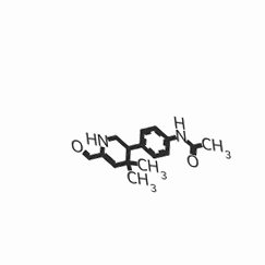 CC(=O)Nc1ccc(C2CNC(C=O)=CC2(C)C)cc1